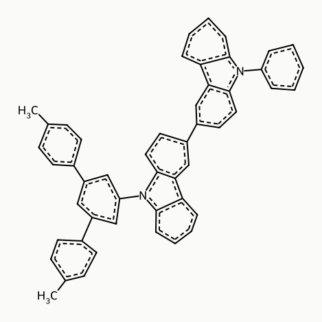 Cc1ccc(-c2cc(-c3ccc(C)cc3)cc(-n3c4ccccc4c4cc(-c5ccc6c(c5)c5ccccc5n6-c5ccccc5)ccc43)c2)cc1